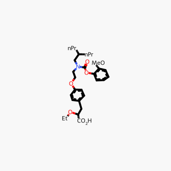 CCCC(CCC)CN(CCOc1ccc(CC(OCC)C(=O)O)cc1)C(=O)Oc1ccccc1OC